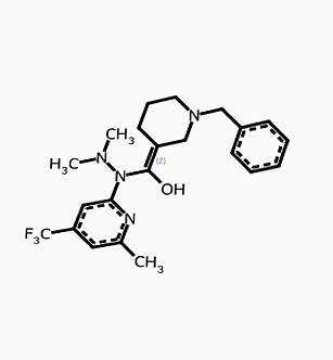 Cc1cc(C(F)(F)F)cc(N(/C(O)=C2\CCCN(Cc3ccccc3)C2)N(C)C)n1